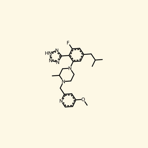 COc1ccnc(CN2CCN(c3cc(CC(C)C)cc(F)c3-c3nn[nH]n3)CC2C)c1